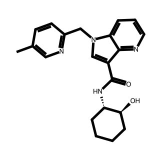 Cc1ccc(Cn2cc(C(=O)N[C@H]3CCCC[C@@H]3O)c3ncccc32)nc1